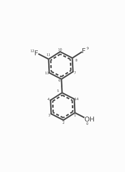 Oc1cccc(-c2cc(F)cc(F)c2)c1